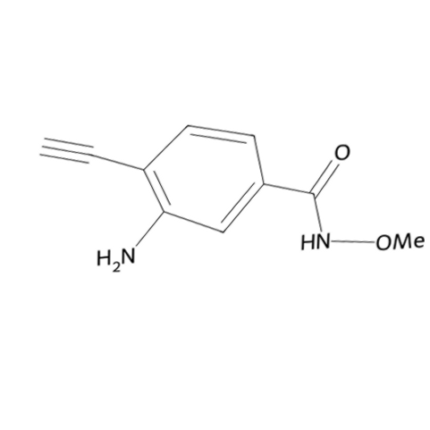 C#Cc1ccc(C(=O)NOC)cc1N